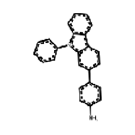 Nc1ccc(-c2ccc3c4ccccc4n(-c4ccccc4)c3c2)cc1